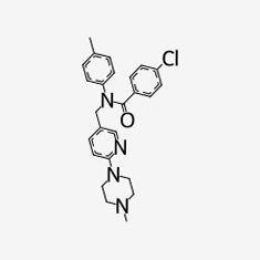 Cc1ccc(N(Cc2ccc(N3CCN(C)CC3)nc2)C(=O)c2ccc(Cl)cc2)cc1